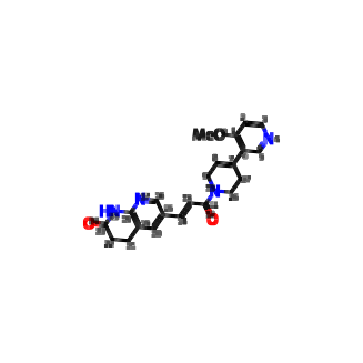 COc1ccncc1C1=CCN(C(=O)/C=C/c2cnc3c(c2)CCC(=O)N3)CC1